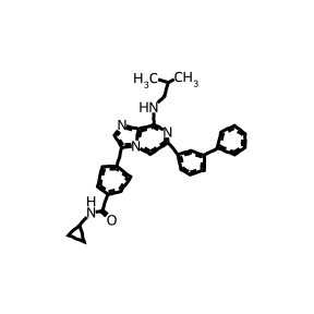 CC(C)CNc1nc(-c2cccc(-c3ccccc3)c2)cn2c(-c3ccc(C(=O)NC4CC4)cc3)cnc12